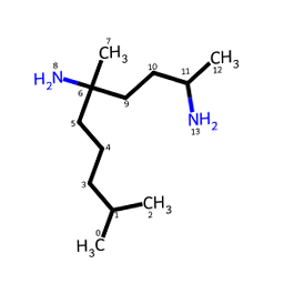 CC(C)CCCC(C)(N)CCC(C)N